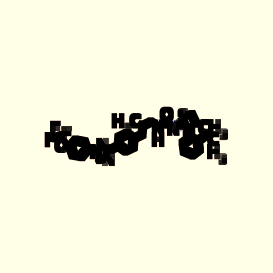 CC(CNC(=O)/N=C1\SCCN1c1ccccc1C(C)C)Cc1ccc(-c2ncn(-c3ccc(OC(F)(F)F)cc3)n2)cc1